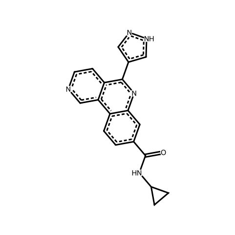 O=C(NC1CC1)c1ccc2c(c1)nc(-c1cn[nH]c1)c1ccncc12